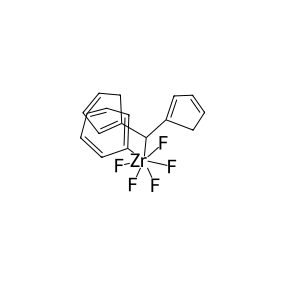 [F][Zr]([F])([F])([F])([F])([c]1ccccc1)[CH](C1=CC=CC1)C1=CC=CC1